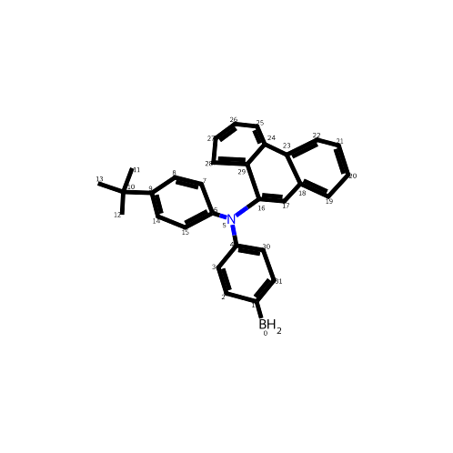 Bc1ccc(N(c2ccc(C(C)(C)C)cc2)c2cc3ccccc3c3ccccc23)cc1